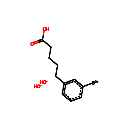 [B+2]c1cccc(CCCCC(=O)O)c1.[OH-].[OH-]